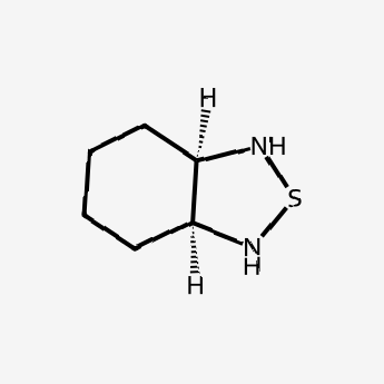 C1CC[C@H]2NSN[C@H]2C1